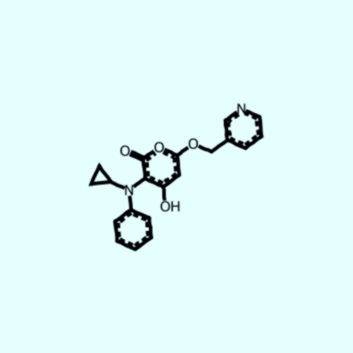 O=c1oc(OCc2cccnc2)cc(O)c1N(c1ccccc1)C1CC1